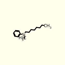 CCCCCCCC[SiH](C)c1ccccc1